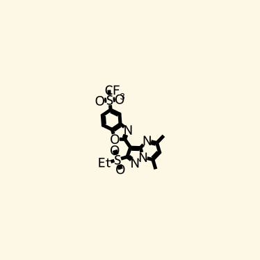 CCS(=O)(=O)c1nn2c(C)cc(C)nc2c1-c1nc2cc(S(=O)(=O)C(F)(F)F)ccc2o1